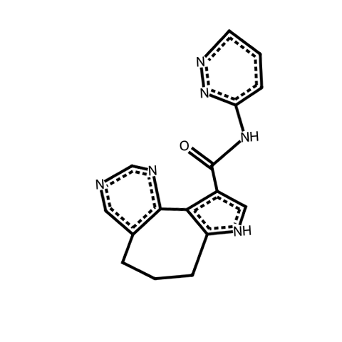 O=C(Nc1cccnn1)c1c[nH]c2c1-c1ncncc1CCC2